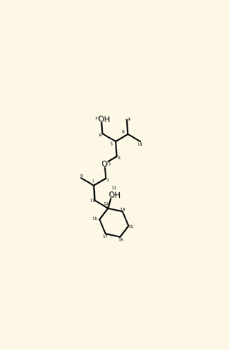 CC(COCC(CO)C(C)C)CC1(O)CCCCC1